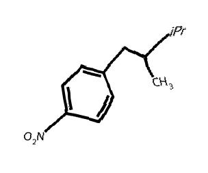 CC(C)C(C)Cc1ccc([N+](=O)[O-])cc1